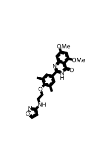 COc1cc(OC)c2c(=O)[nH]c(-c3cc(C)c(OCCNc4ccon4)c(C)c3)nc2c1